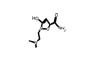 CN(C)CCN1OC(C(N)=O)C=C1O